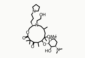 COC1(C)CC(C)CN(CCO)[C@H](CCCN2CCCC2)COC(=O)C(C)(C)C(=O)C(C)C1O[C@@H]1O[C@H](C)C[C@H](N(C)C)[C@H]1O